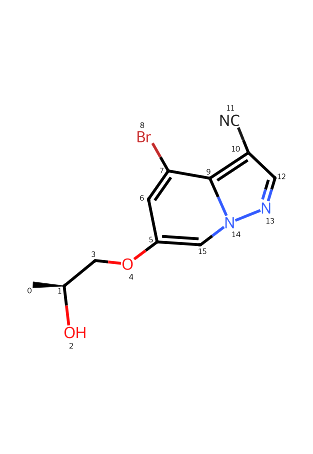 C[C@H](O)COc1cc(Br)c2c(C#N)cnn2c1